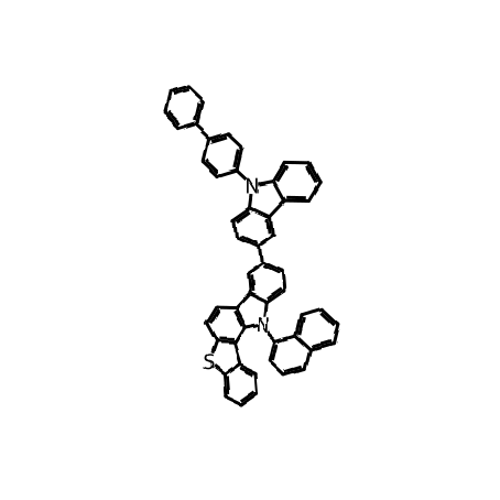 c1ccc(-c2ccc(-n3c4ccccc4c4cc(-c5ccc6c(c5)c5ccc7sc8ccccc8c7c5n6-c5cccc6ccccc56)ccc43)cc2)cc1